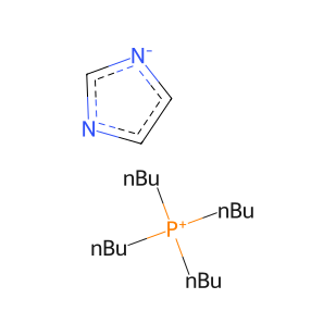 CCCC[P+](CCCC)(CCCC)CCCC.c1c[n-]cn1